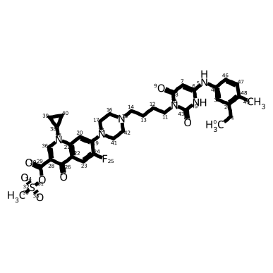 CCc1cc(Nc2cc(=O)n(CCCCN3CCN(c4cc5c(cc4F)c(=O)c(C(=O)OS(C)(=O)=O)cn5C4CC4)CC3)c(=O)[nH]2)ccc1C